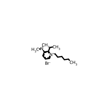 CCCCCC[n+]1cccc(N(C)C)c1CC.[Br-]